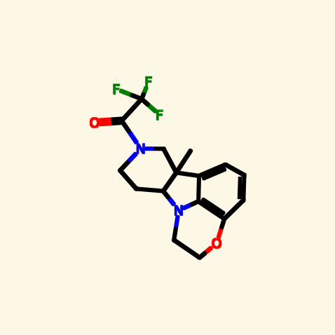 CC12CN(C(=O)C(F)(F)F)CCC1N1CCOc3cccc2c31